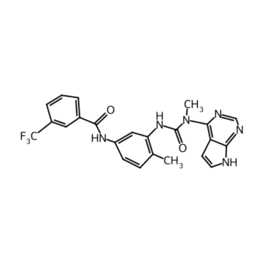 Cc1ccc(NC(=O)c2cccc(C(F)(F)F)c2)cc1NC(=O)N(C)c1ncnc2[nH]ccc12